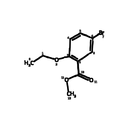 CCOc1ccc(Br)cc1C(=O)OC